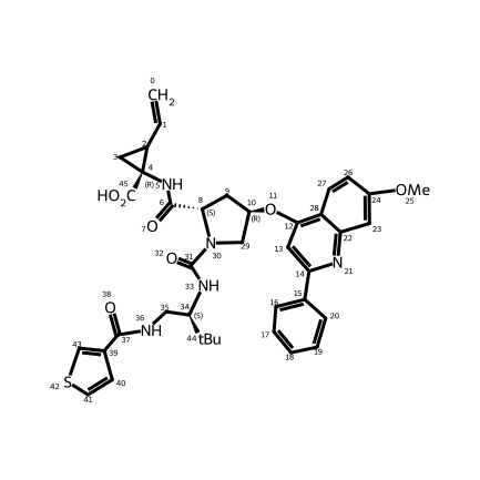 C=CC1C[C@]1(NC(=O)[C@@H]1C[C@@H](Oc2cc(-c3ccccc3)nc3cc(OC)ccc23)CN1C(=O)N[C@H](CNC(=O)c1ccsc1)C(C)(C)C)C(=O)O